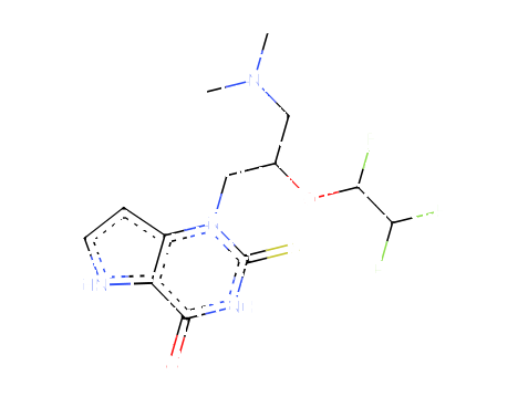 CN(C)CC(Cn1c(=S)[nH]c(=O)c2[nH]ccc21)OC(F)C(F)F